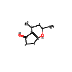 CCCC1CC(CC)C2=C(CCC2=O)O1